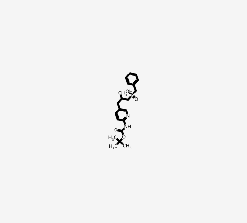 CC(Cc1ccc(NC(=O)OC(C)(C)C)nc1)CP(=O)(O)Cc1ccccc1